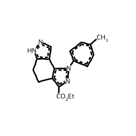 CCOC(=O)c1nn(-c2ccc(C)cc2)c2c1CCc1[nH]ncc1-2